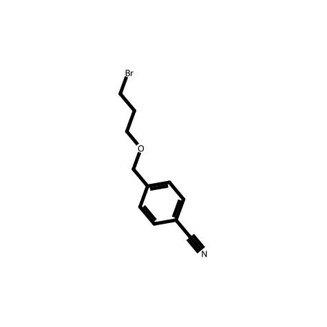 N#Cc1ccc(COCCCBr)cc1